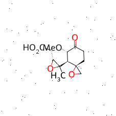 CO[C@@H]1C(=O)CC[C@]2(CO2)[C@H]1C1(C)O[C@@H]1CC(=O)O